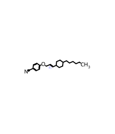 CCCCCCC1CCC(/C=C/COc2ccc(C#N)cc2)CC1